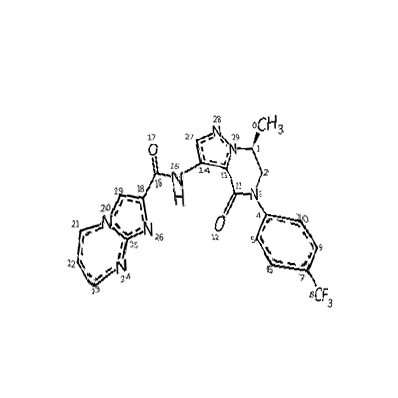 C[C@H]1CN(c2ccc(C(F)(F)F)cc2)C(=O)c2c(NC(=O)c3cn4cccnc4n3)cnn21